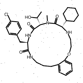 CC(O)[C@H]1C(=O)N[C@H](Cc2ccc(Cl)cc2)C(=O)NCCCc2ccccc2OCCN[C@@H](C2CCCCC2)C(=O)N1C